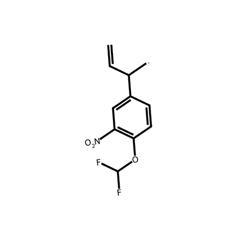 [CH2]C(C=C)c1ccc(OC(F)F)c([N+](=O)[O-])c1